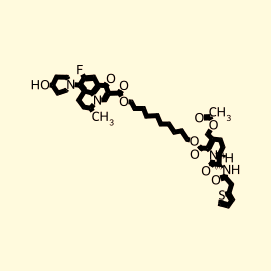 CC(=O)OCC1=C(C(=O)OCCCCCCCCCCOC(=O)c2cn3c4c(c(N5CCC(O)CC5)c(F)cc4c2=O)CCC3C)N2C(=O)[C@H](NC(=O)Cc3cccs3)[C@H]2CC1